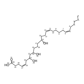 CCCCC/C=C\CCCC/C=C\CCC(O)CCCC(O)CC(O)C/C=C\CCC(=O)O